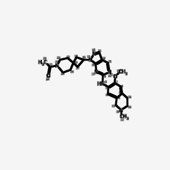 COc1cc2c(cc1Nc1ncc3cnn(C4CC5(CCN(C(C)=O)CC5)C4)c3n1)CN(C)CC2